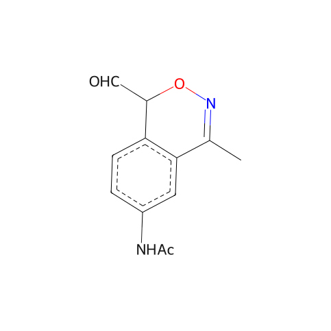 CC(=O)Nc1ccc2c(c1)C(C)=NOC2C=O